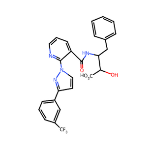 O=C(NC(Cc1ccccc1)C(O)C(=O)O)c1cccnc1-n1ccc(-c2cccc(C(F)(F)F)c2)n1